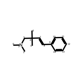 CN(C)CC(C)(C)C=Cc1ccccc1